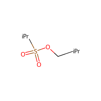 CC(C)COS(=O)(=O)C(C)C